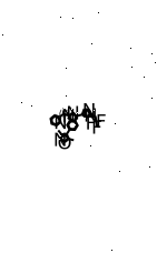 Cc1noc(C)c1-c1ccc2c(-c3cnn(CC(F)(F)F)c3)nn([C@@H](C)c3ccccn3)c2c1